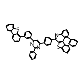 c1ccc(-c2nc(-c3ccc(-c4nc5cccc(-c6ccccc6)c5c5c4sc4ccccc45)cc3)cc(-c3cccc(-c4cccc5c4sc4ccccc45)c3)n2)cc1